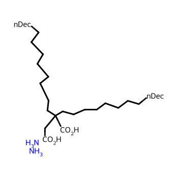 CCCCCCCCCCCCCCCCCCC(CCCCCCCCCCCCCCCCCC)(CC(=O)O)C(=O)O.N.N